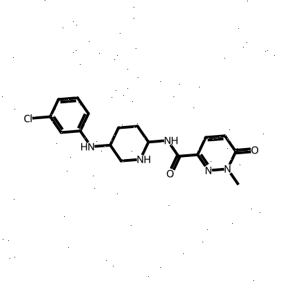 Cn1nc(C(=O)NC2CCC(Nc3cccc(Cl)c3)CN2)ccc1=O